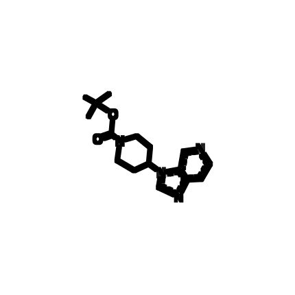 CC(C)(C)OC(=O)N1CCC(n2cnc3ccncc32)CC1